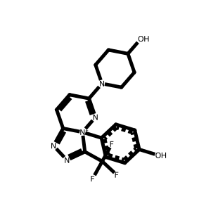 Oc1ccc([N+]23N=C(N4CCC(O)CC4)C=CC2=NN=C3C(F)(F)F)cc1